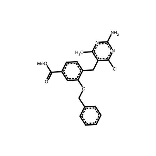 COC(=O)c1ccc(Cc2c(C)nc(N)nc2Cl)c(OCc2ccccc2)c1